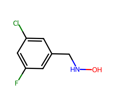 ONCc1cc(F)cc(Cl)c1